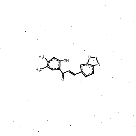 Cc1cc(O)c(C(=O)C=Cc2ccc3c(c2)OCO3)cc1C